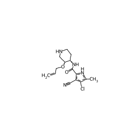 C=CCO[C@H]1CNCC[C@H]1NC(=O)c1[nH]c(C)c(Cl)c1C#N